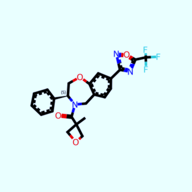 CC1(C(=O)N2Cc3ccc(-c4noc(C(F)(F)F)n4)cc3OC[C@@H]2c2ccccc2)COC1